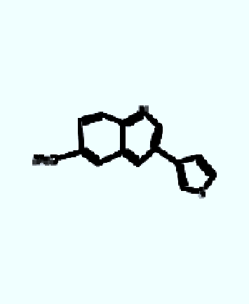 COc1ccc2ncc(-c3ccsc3)cc2c1